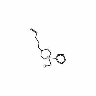 C=CCCCC1CC[Si](CBr)(c2ccccc2)CC1